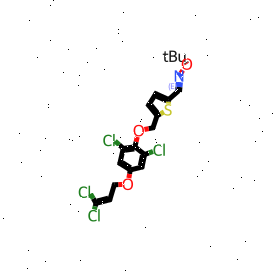 CC(C)(C)O/N=C/c1ccc(COc2c(Cl)cc(OCC=C(Cl)Cl)cc2Cl)s1